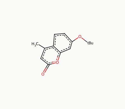 Cc1cc(=O)oc2cc(OC(C)(C)C)ccc12